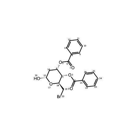 O=C(O[C@H]1[C@@H](OC(=O)c2ccccc2)C[C@@H](O)O[C@@H]1CBr)c1ccccc1